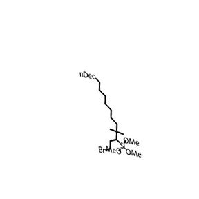 CCCCCCCCCCCCCCCCCC(C)(C)C(CCBr)[Si](OC)(OC)OC